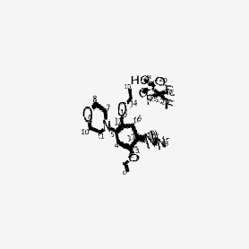 CCOC1=CC(N2CCOCC2)=C(OCC)CC1=[N+]=[N-].O=S(=O)(O)C(F)(F)F